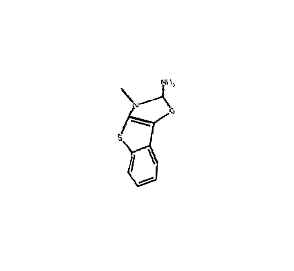 CN1c2sc3ccccc3c2OC1N